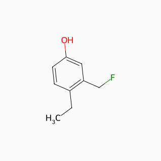 CCc1ccc(O)cc1CF